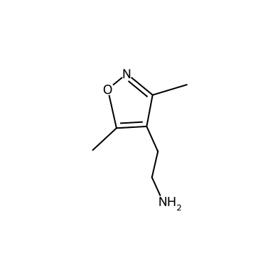 Cc1noc(C)c1CCN